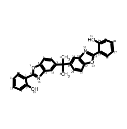 CC(C)(c1ccc2oc(-c3ccccc3O)nc2c1)c1ccc2oc(-c3ccccc3O)nc2c1